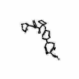 Nc1ncc(-c2ccc(C3(C(=O)Nc4ccccn4)CCC3)cc2)cn1